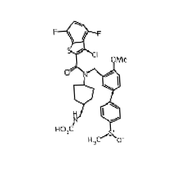 COc1ccc(-c2ccc([S+](C)[O-])cc2)cc1CN(C(=O)c1sc2c(F)ccc(F)c2c1Cl)C1CCC(CNC(=O)O)CC1